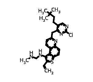 C=Cc1sc2ccc3nc(Cc4nc(Cl)ncc4CCC(C)(C)C)ccc3c2c1NCNC